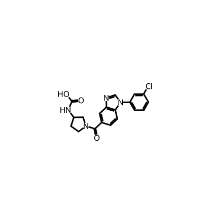 O=C(O)NC1CCN(C(=O)c2ccc3c(c2)ncn3-c2cccc(Cl)c2)C1